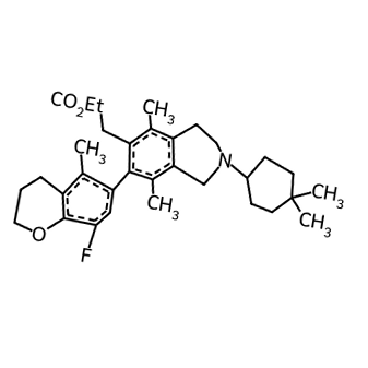 CCOC(=O)Cc1c(C)c2c(c(C)c1-c1cc(F)c3c(c1C)CCCO3)CN(C1CCC(C)(C)CC1)CC2